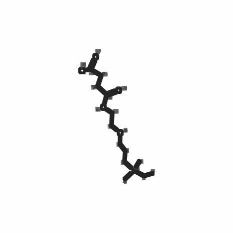 CCS(C)(C)CCCOCCOC(=O)CCC(=O)Cl